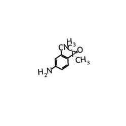 CP(C)(=O)c1ccc(N)cc1C#N